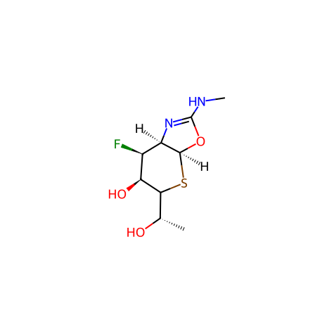 CNC1=N[C@@H]2[C@H](F)[C@H](O)C([C@H](C)O)S[C@@H]2O1